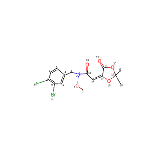 CON(Cc1ccc(F)c(Br)c1)C(=O)/C=C1/OC(C)(C)OC1=O